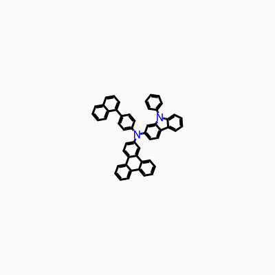 c1ccc(-n2c3ccccc3c3ccc(N(c4ccc(-c5cccc6ccccc56)cc4)c4ccc5c6ccccc6c6ccccc6c5c4)cc32)cc1